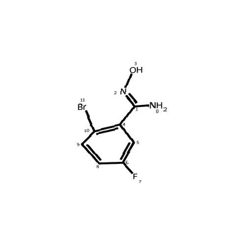 N/C(=N\O)c1cc(F)ccc1Br